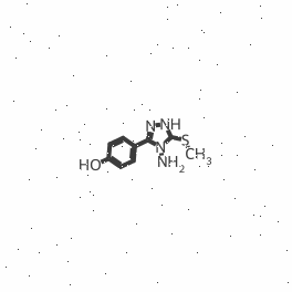 CSC1NN=C(c2ccc(O)cc2)N1N